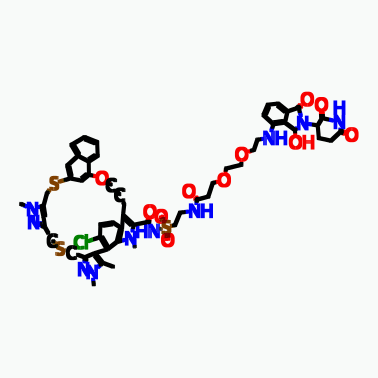 Cc1c2c(nn1C)CSCc1cc(n(C)n1)CSc1cc(c3ccccc3c1)OCCCc1c(C(=O)NS(=O)(=O)CCNC(=O)CCOCCOCCNc3cccc4c3C(O)N(C3CCC(=O)NC3=O)C4=O)n(C)c3c-2c(Cl)ccc13